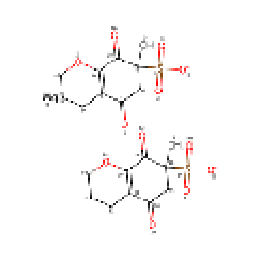 CC1(S(=O)(=O)[O-])CC(=O)C2=C(OCCC2)C1=O.CC1(S(=O)(=O)[O-])CC(=O)C2=C(OCCC2)C1=O.[Mg+2]